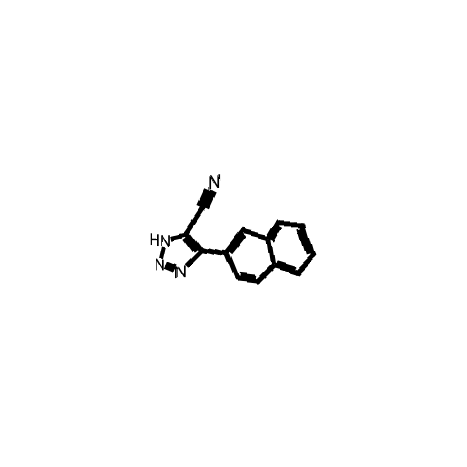 N#Cc1[nH]nnc1-c1ccc2ccccc2c1